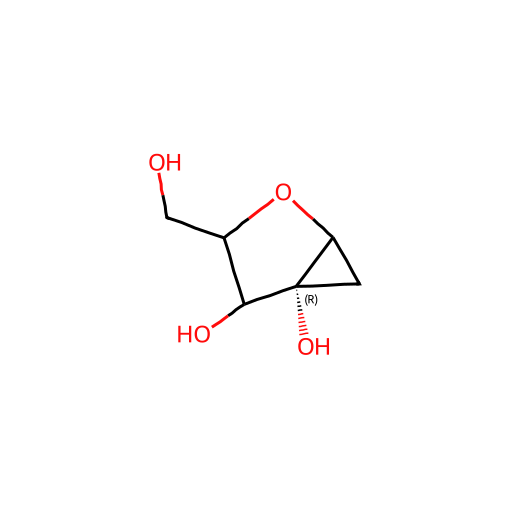 OCC1OC2C[C@@]2(O)C1O